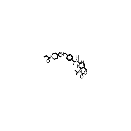 C=CC(=O)N1CCC2(CC1)CN(Cc1ccc([C@H](C)Nc3ncc4c(n3)N(C(C)C)C(=O)OC4)cc1)C2